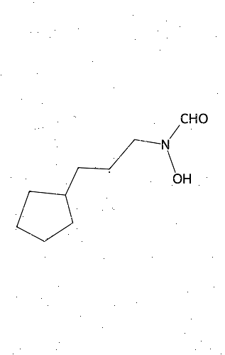 O=CN(O)C[CH]CC1CCCC1